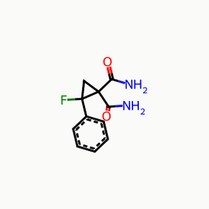 NC(=O)C1(C(N)=O)CC1(F)c1ccccc1